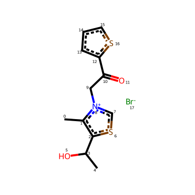 Cc1c(C(C)O)sc[n+]1CC(=O)c1cccs1.[Br-]